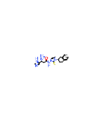 NC(CC(=O)Nn1ccn(C2CCc3ccccc3C2)c1=S)c1cnc[nH]1